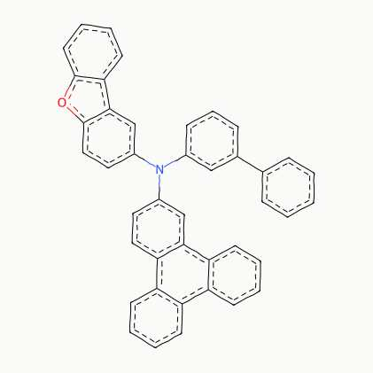 c1ccc(-c2cccc(N(c3ccc4oc5ccccc5c4c3)c3ccc4c5ccccc5c5ccccc5c4c3)c2)cc1